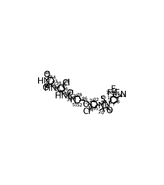 CC1(C)C(=O)N(c2ccc(C#N)c(C(F)(F)F)c2)C(=S)N1c1ccc(OCC2CCN(CC(=O)Nc3cc(Cl)cc(NC4CCC(=O)NC4=O)c3)CC2)c(Cl)c1